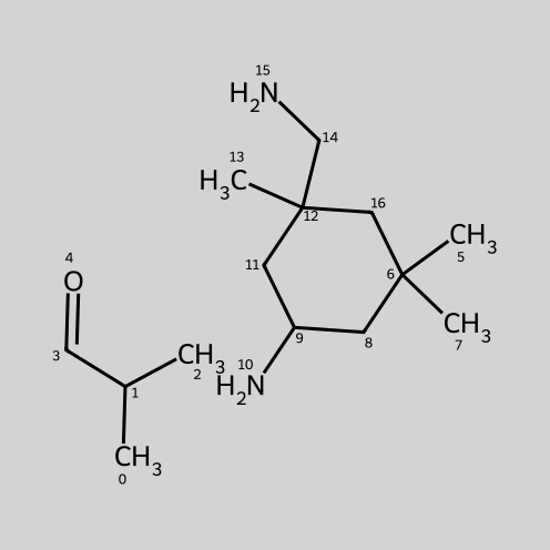 CC(C)C=O.CC1(C)CC(N)CC(C)(CN)C1